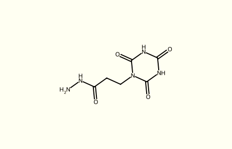 NNC(=O)CCn1c(=O)[nH]c(=O)[nH]c1=O